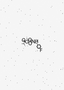 CC[C@@H](CNC(=O)O[C@H](C)OC(=O)C(C)C)c1ccc(F)cc1